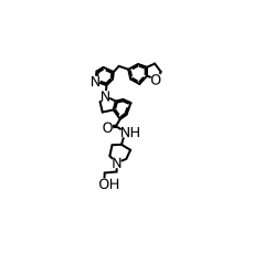 O=C(NC1CCN(CCO)CC1)c1cccc2c1CCN2c1cc(Cc2ccc3c(c2)CCO3)ccn1